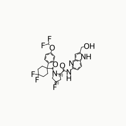 O=C(Nc1ccc2[nH]c(CO)cc2n1)[C@H]1C[C@@H](F)CN1C(=O)C1(c2ccc(OC(F)F)cc2)CCC(F)(F)CC1